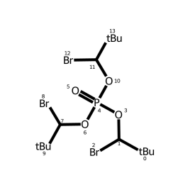 CC(C)(C)C(Br)OP(=O)(OC(Br)C(C)(C)C)OC(Br)C(C)(C)C